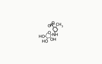 Cc1ccc(NC2OCC(O)C(O)C2O)cc1[N+](=O)[O-]